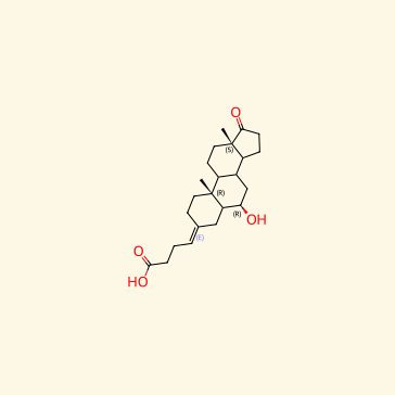 C[C@]12CC/C(=C\CCC(=O)O)CC1[C@H](O)CC1C2CC[C@]2(C)C(=O)CCC12